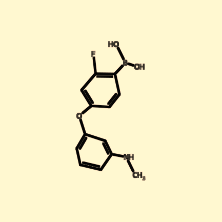 CNc1cccc(Oc2ccc(B(O)O)c(F)c2)c1